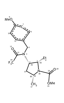 CC[C@H]1[C@@H](N(Cc2ccc(OC)cc2)C(=O)C(F)(F)F)C[C@@H](C)N1C(=O)OC